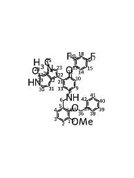 COc1cccc(CNc2ccc(Oc3ccc(F)cc3F)c(-c3cn(C)c4c(=O)[nH]ccc34)c2)c1OCc1ccccc1